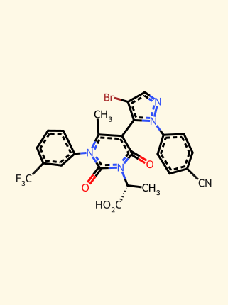 Cc1c(-c2c(Br)cnn2-c2ccc(C#N)cc2)c(=O)n([C@H](C)C(=O)O)c(=O)n1-c1cccc(C(F)(F)F)c1